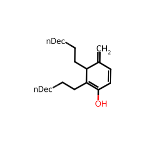 C=C1C=CC(O)=C(CCCCCCCCCCCC)C1CCCCCCCCCCCC